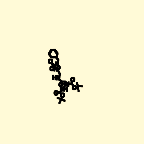 CC(C)(C)OC(=O)NCC(CNC(=O)OC(C)(C)C)NCCCN(Cc1ccccc1)C(=O)O